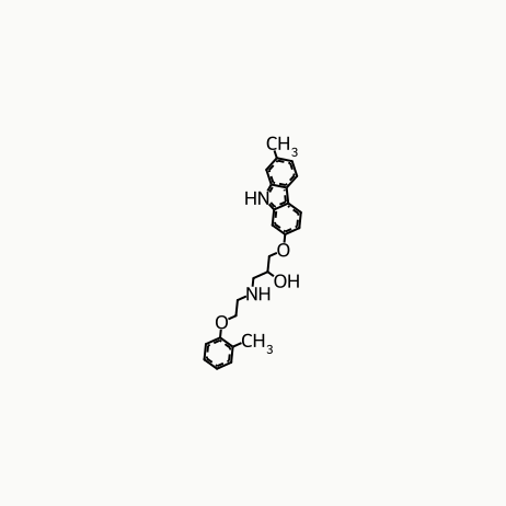 Cc1ccc2c(c1)[nH]c1cc(OCC(O)CNCCOc3ccccc3C)ccc12